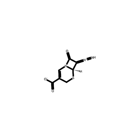 N=[N+]=C1C(=O)N2C=C(C(=O)[O-])CS[C@H]12